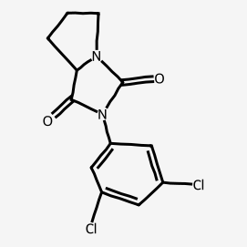 O=C1C2CCCN2C(=O)N1c1cc(Cl)cc(Cl)c1